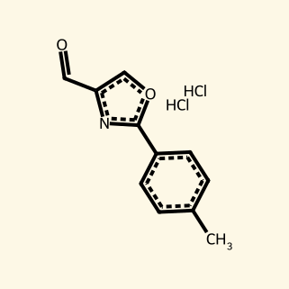 Cc1ccc(-c2nc(C=O)co2)cc1.Cl.Cl